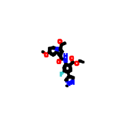 CCOC(=O)c1cc(-c2cnn(C)c2)c(F)cc1NC(=O)c1cc(C(C)=O)n2ccc(OC)cc12